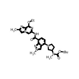 CCOc1nc(NC(=O)c2ccc(N3CCC(N(C)C(=O)OC(C)(C)C)C3)c3cn(C)nc23)cn2cc(C)nc12